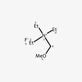 CC[N+](CC)(CC)COC.[F-]